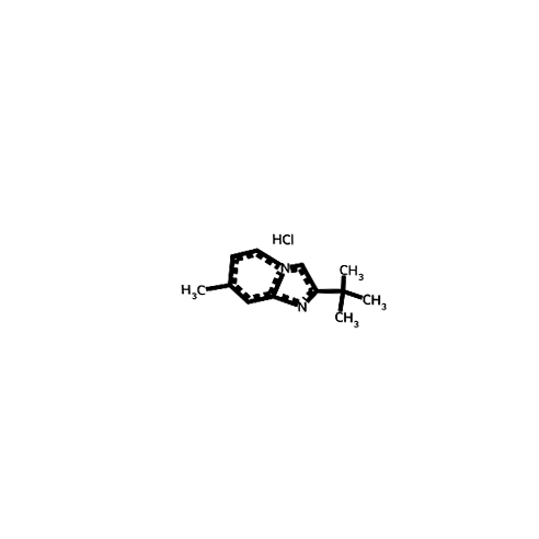 Cc1ccn2cc(C(C)(C)C)nc2c1.Cl